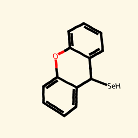 [SeH]C1c2ccccc2Oc2ccccc21